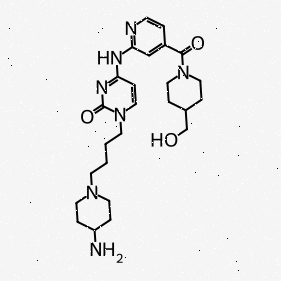 NC1CCN(CCCCn2ccc(Nc3cc(C(=O)N4CCC(CO)CC4)ccn3)nc2=O)CC1